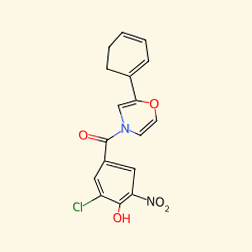 O=C(c1cc(Cl)c(O)c([N+](=O)[O-])c1)N1C=COC(C2=CC=CCC2)=C1